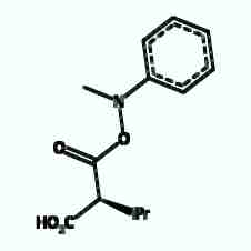 CC(C)[C@@H](C(=O)O)C(=O)ON(C)c1ccccc1